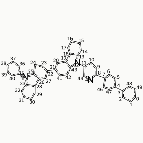 c1ccc(-c2ccc(-c3ccc(-n4c5ccccc5c5cc(-c6ccc7c(c6)c6ccccc6n7-c6ccccc6)ccc54)cn3)cc2)cc1